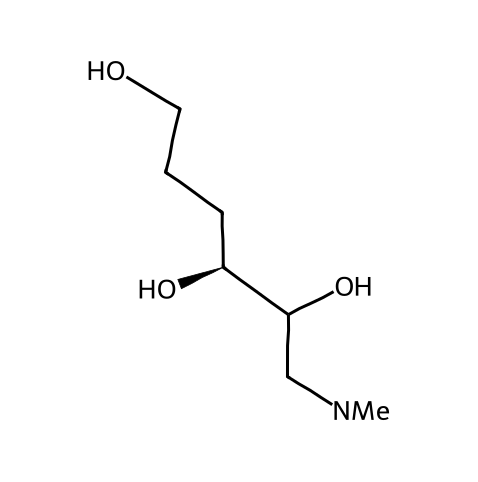 CNCC(O)[C@@H](O)CCCO